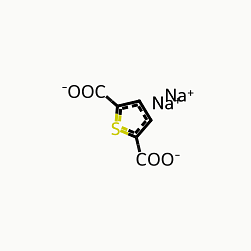 O=C([O-])c1ccc(C(=O)[O-])s1.[Na+].[Na+]